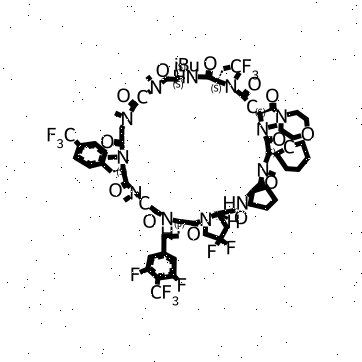 CC[C@H](C)[C@@H]1NC(=O)[C@H](CC(F)(F)F)N(C)C(=O)C[C@@H](C(=O)N2CCOCC2)N(C)C(=O)[C@H](C2CCCCC2)N(C)C(=O)C2(CCCC2)NC(=O)[C@@H]2CC(F)(F)CN2C(=O)[C@H](CCc2cc(F)c(C(F)(F)F)c(F)c2)NC(=O)CN(C)C(=O)[C@H](Cc2ccc(C(F)(F)F)cc2)N(C)C(=O)CN(C)C(=O)CN(C)C1=O